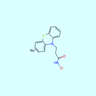 O=C(CCN1c2ccccc2Sc2ccccc21)N[O-].[Na+]